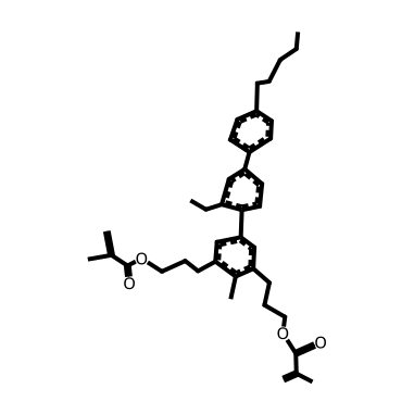 C=C(C)C(=O)OCCCc1cc(-c2ccc(-c3ccc(CCCCC)cc3)cc2CC)cc(CCCOC(=O)C(=C)C)c1C